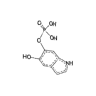 O=P(O)(O)Oc1cc2[nH]ccc2cc1O